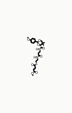 COC(=O)/C=C/C(=O)SCCNC(=O)CCNC(=O)[C@@H]1OC(c2ccc(OC)cc2)OCC1(C)C